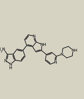 Nc1n[nH]c2ccc(-c3ccnc4[nH]c(-c5ccnc(N6CCNCC6)c5)cc34)cc12